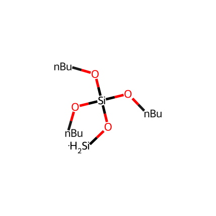 CCCCO[Si](O[SiH2])(OCCCC)OCCCC